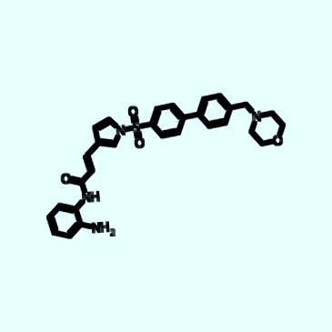 Nc1ccccc1NC(=O)C=Cc1ccn(S(=O)(=O)c2ccc(-c3ccc(CN4CCOCC4)cc3)cc2)c1